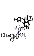 C=C1CCN(C(=O)OC(C)(C)C)C/C1=C/C=C(\C)Nc1ncc2c(=O)n(C(C)C)n(-c3ccc(F)cn3)c2n1